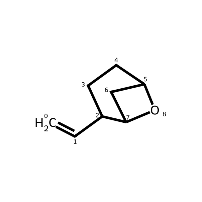 C=CC1CCC2CC1O2